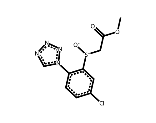 COC(=O)C[S+]([O-])c1cc(Cl)ccc1-n1cnnn1